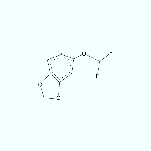 FC(F)Oc1[c]cc2c(c1)OCO2